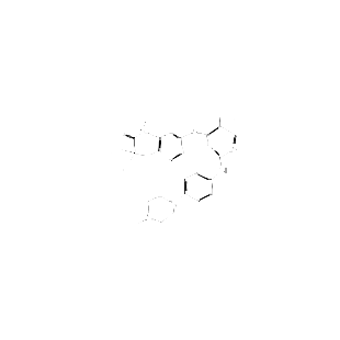 CCN1CCN(c2ccc(Nc3ncc(C)c(Nc4ccc5c(c4)N(CC)C(=O)C(C)(C)O5)n3)cc2)CC1